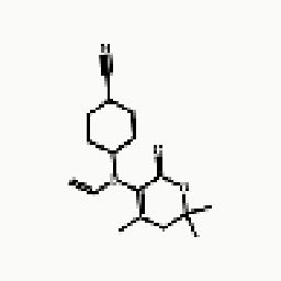 C=CB(C1=C(C)CC(C)(C)OC1=O)C1CCC(C#N)CC1